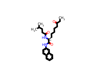 CCC(=O)CCCCC[C@H](NC(=O)CCC(C)C)C(=O)Nc1ccc2ccccc2c1